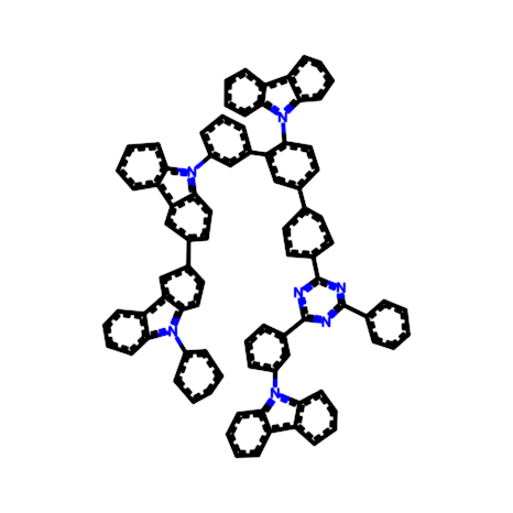 c1ccc(-c2nc(-c3ccc(-c4ccc(-n5c6ccccc6c6ccccc65)c(-c5cccc(-n6c7ccccc7c7cc(-c8ccc9c(c8)c8ccccc8n9-c8ccccc8)ccc76)c5)c4)cc3)nc(-c3cccc(-n4c5ccccc5c5ccccc54)c3)n2)cc1